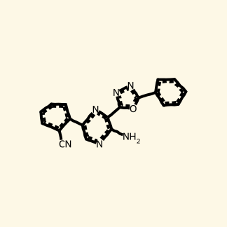 N#Cc1ccccc1-c1cnc(N)c(-c2nnc(-c3ccccc3)o2)n1